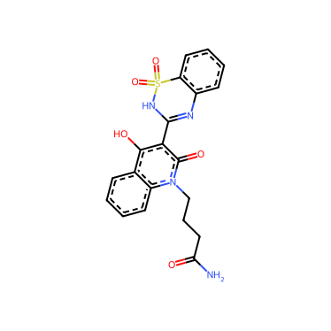 NC(=O)CCCn1c(=O)c(C2=Nc3ccccc3S(=O)(=O)N2)c(O)c2ccccc21